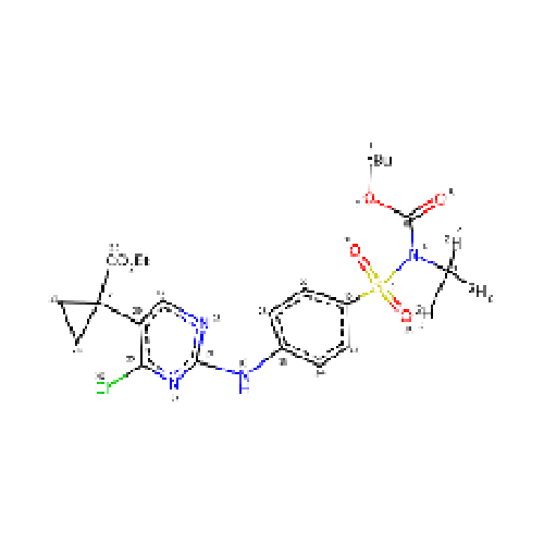 [2H]C([2H])([2H])N(C(=O)OC(C)(C)C)S(=O)(=O)c1ccc(Nc2ncc(C3(C(=O)OCC)CC3)c(Cl)n2)cc1